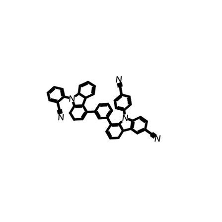 N#Cc1ccc(N2C3=C(c4cccc(C5=CCCC6=C5C5C=CC=CC5N6c5ccccc5C#N)c4)C=CCC3c3cc(C#N)ccc32)cc1